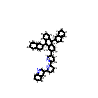 c1cc(-c2cnc3ccccc3c2)nc(-c2ccc(-c3ccc4c(-c5ccc6ccccc6c5)c5ccccc5c(-c5ccc6ccccc6c5)c4c3)cn2)c1